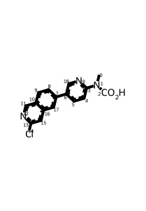 CN(C(=O)O)c1ccc(-c2ccc3cnc(Cl)cc3c2)cn1